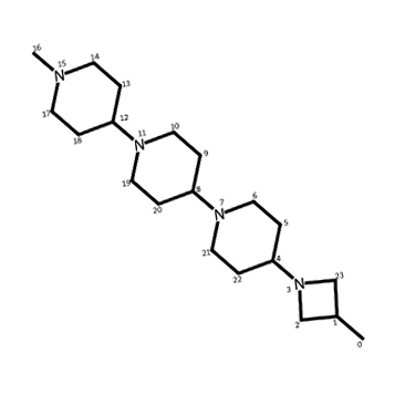 CC1CN(C2CCN(C3CCN(C4CCN(C)CC4)CC3)CC2)C1